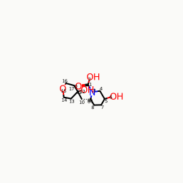 O=C(O)N1CC(O)CC[C@@H]1CC1(O)CCOCC1